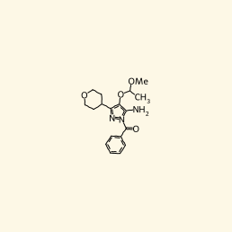 COC(C)Oc1c(C2CCOCC2)nn(C(=O)c2ccccc2)c1N